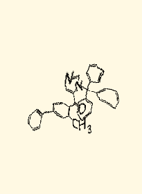 Cc1cc(-c2ccccc2)ccc1C(=O)c1cncn1C(c1ccccc1)(c1ccccc1)c1ccccc1